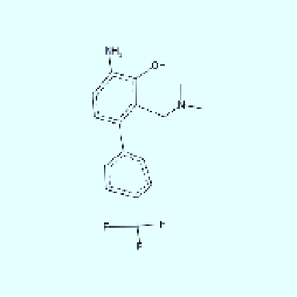 CN(C)Cc1c(-c2ccc(C(F)(F)F)cc2)ccc(N)c1O